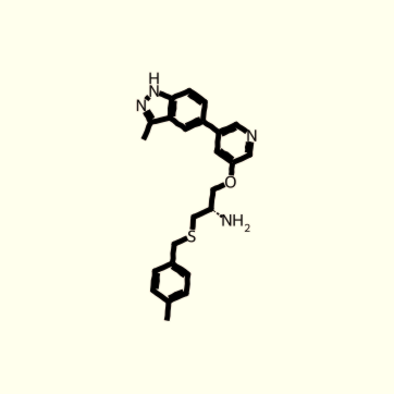 Cc1ccc(CSC[C@@H](N)COc2cncc(-c3ccc4[nH]nc(C)c4c3)c2)cc1